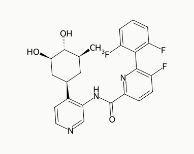 C[C@H]1C[C@@H](c2ccncc2NC(=O)c2ccc(F)c(-c3c(F)cccc3F)n2)C[C@@H](O)[C@@H]1O